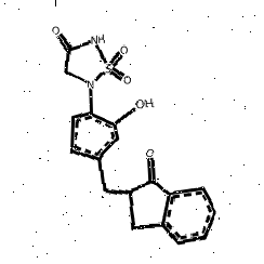 O=C1CN(c2ccc(CC3Cc4ccccc4C3=O)cc2O)S(=O)(=O)N1